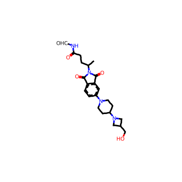 CC(CCC(=O)NC=O)N1C(=O)c2ccc(N3CCC(N4CC(CO)C4)CC3)cc2C1=O